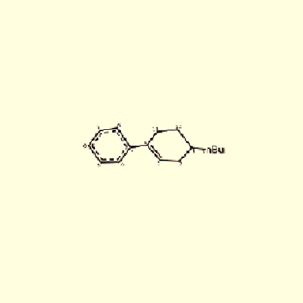 CCCCC1CC=C(c2cc[c]cc2)CC1